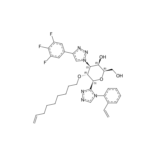 C=CCCCCCCCO[C@@H]1[C@@H](n2cc(-c3cc(F)c(F)c(F)c3)nn2)[C@@H](O)[C@@H](CO)O[C@H]1c1nncn1-c1ccccc1C=C